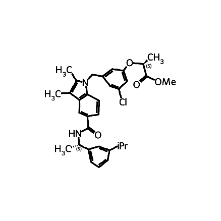 COC(=O)[C@H](C)Oc1cc(Cl)cc(Cn2c(C)c(C)c3cc(C(=O)N[C@@H](C)c4cccc(C(C)C)c4)ccc32)c1